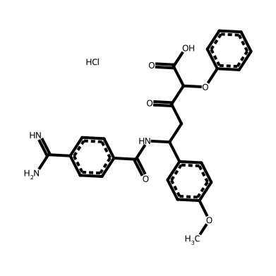 COc1ccc(C(CC(=O)C(Oc2ccccc2)C(=O)O)NC(=O)c2ccc(C(=N)N)cc2)cc1.Cl